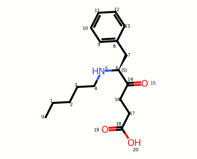 CCCCCN[C@@H](Cc1ccccc1)C(=O)CCC(=O)O